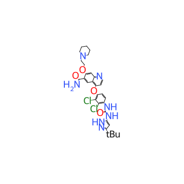 CC(C)(C)c1cc(NC(=O)Nc2ccc(Oc3ccnc4cc(OCCN5CCCCC5)c(C(N)=O)cc34)c(Cl)c2Cl)[nH]n1